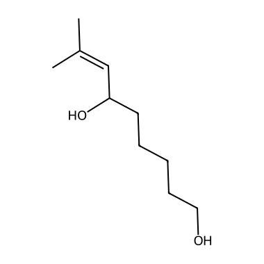 CC(C)=CC(O)CCCCCO